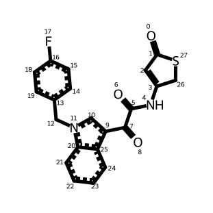 O=C1C=C(NC(=O)C(=O)c2cn(Cc3ccc(F)cc3)c3ccccc23)CS1